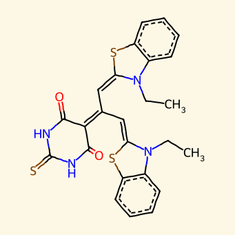 CCN1C(=CC(C=C2Sc3ccccc3N2CC)=C2C(=O)NC(=S)NC2=O)Sc2ccccc21